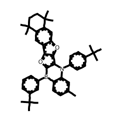 Cc1ccc2c(c1)N(c1ccc(C(C)(C)C)cc1)c1c(oc3c1oc1cc4c(cc13)C(C)(C)CCC4(C)C)B2c1cccc(C(C)(C)C)c1